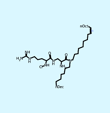 CCCCCCCC/C=C\CCCCCCCCN(CCCCCCCCCCCCCCCC)C(=O)C(N)CNC(=O)C(CCCNC(=N)N)NCl